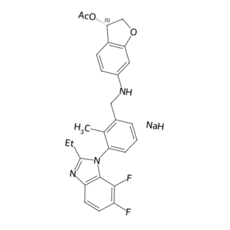 CCc1nc2ccc(F)c(F)c2n1-c1cccc(CNc2ccc3c(c2)OC[C@H]3OC(C)=O)c1C.[NaH]